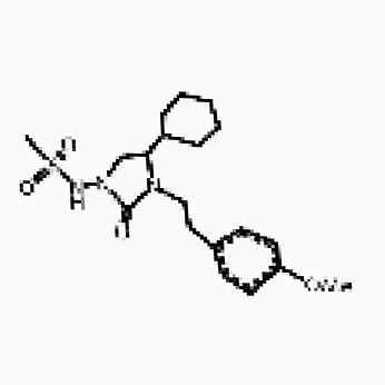 COc1ccc(CCN2C(=O)N(NS(C)(=O)=O)CC2C2CCCCC2)cc1